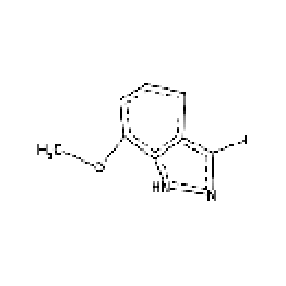 COc1cccc2c(I)n[nH]c12